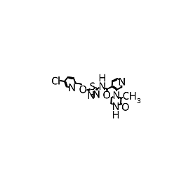 CC1C(=O)NCCN1c1cnccc1C(=O)Nc1nnc(OCc2ccc(Cl)cn2)s1